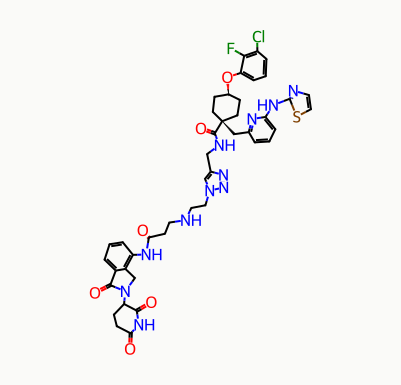 O=C1CCC(N2Cc3c(NC(=O)CCNCCn4cc(CNC(=O)[C@]5(Cc6cccc(Nc7nccs7)n6)CC[C@@H](Oc6cccc(Cl)c6F)CC5)nn4)cccc3C2=O)C(=O)N1